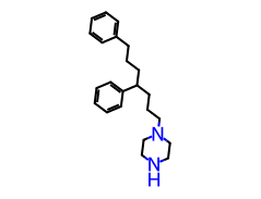 c1ccc(CCCC(CCCN2CCNCC2)c2ccccc2)cc1